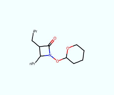 CCCC1C(CC(C)C)C(=O)N1OC1CCCCO1